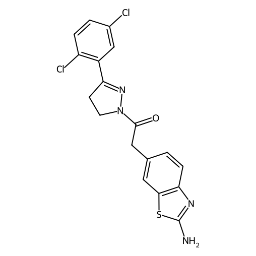 Nc1nc2ccc(CC(=O)N3CCC(c4cc(Cl)ccc4Cl)=N3)cc2s1